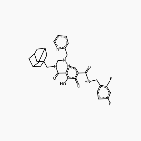 O=C(NCc1ccc(F)cc1F)c1cn2c(c(O)c1=O)C(=O)N(CC13CC4CC(CC(C4)C1)C3)CN2Cc1ccccn1